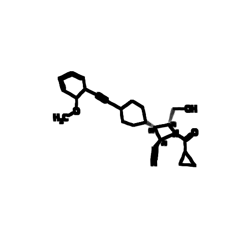 COC1C=C=C=CC1C#CC1CCC([C@H]2[C@H](C#N)N(C(=O)C3CC3)[C@H]2CO)CC1